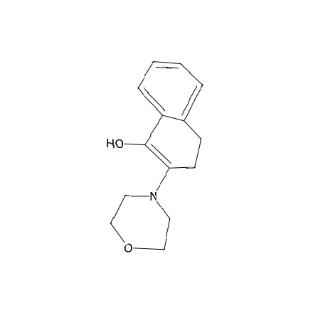 OC1=C(N2CCOCC2)CCc2ccccc21